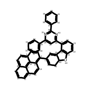 C1=C(c2ccc3ccc4cccc5ccc2c3c45)C=C2c3c(cccc3-c3cc(-c4ccccc4)nc(-c4ccccc4)n3)OC2C1